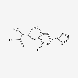 CC(C(=O)O)c1ccc2oc(-c3cccs3)cc(=O)c2c1